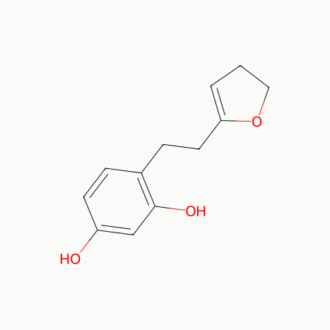 Oc1ccc(CCC2=CCCO2)c(O)c1